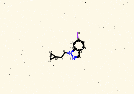 Ic1ccc2cnn(CCC3CC3)c2c1